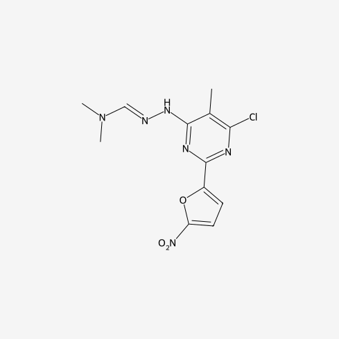 Cc1c(Cl)nc(-c2ccc([N+](=O)[O-])o2)nc1NN=CN(C)C